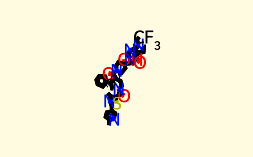 Cc1ccc(-c2nc(C)c(C(=O)N3CC[C@@H](C(=O)N4CCC(O)(Cn5cnc6c(ccn6CC(F)(F)F)c5=O)CC4)[C@H](c4ccccc4)C3)s2)cn1